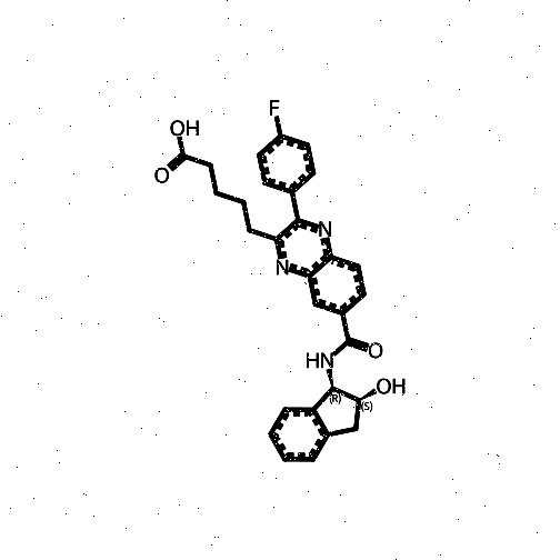 O=C(O)CCCCc1nc2cc(C(=O)N[C@@H]3c4ccccc4C[C@@H]3O)ccc2nc1-c1ccc(F)cc1